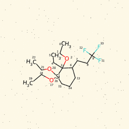 CCOC1(CC)C(CCC(F)(F)F)CCC[Si]1(OCC)OCC